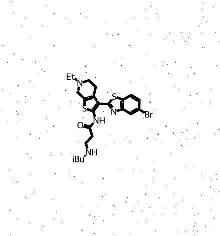 CC[C@H](C)NCCC(=O)Nc1sc2c(c1-c1nc3cc(Br)ccc3s1)CCN(CC)C2